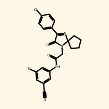 N#Cc1cc(F)cc(NC(=O)CN2C(=O)C(c3ccc(Cl)cc3)=NC23CCCC3)c1